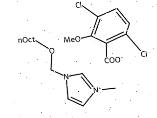 CCCCCCCCOCn1cc[n+](C)c1.COc1c(Cl)ccc(Cl)c1C(=O)[O-]